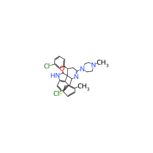 Cc1ccc(F)cc1C1N=C(N2CCN(C)CC2)C[C@H](c2cccc(Cl)c2)C12C(=O)Nc1cc(Cl)ccc12